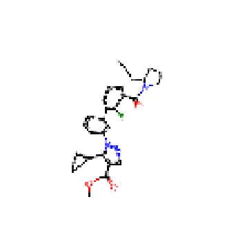 CCCC1CCCN1C(=O)c1cccc(-c2cccc(-n3ncc(C(=O)OC)c3C3CC3)c2)c1F